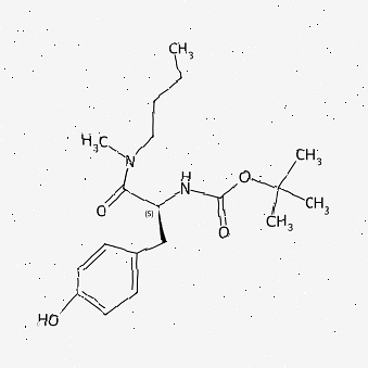 CCCCN(C)C(=O)[C@H](Cc1ccc(O)cc1)NC(=O)OC(C)(C)C